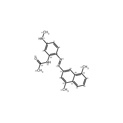 CNc1ccc(N=Nc2cc(C)c3cccc(C)c3c2)c(NC(C)=O)c1